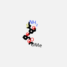 COCC(C)OC(=O)Cc1ccccc1OCc1cc(-c2csc(CN)c2)c2occc2c1